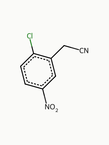 N#CCc1cc([N+](=O)[O-])ccc1Cl